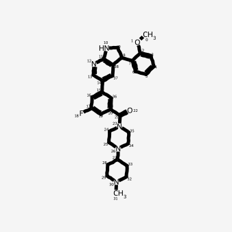 COc1ccccc1C1CNc2ncc(-c3cc(F)cc(C(=O)N4CCN(C5CCN(C)CC5)CC4)c3)cc21